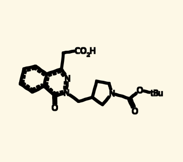 CC(C)(C)OC(=O)N1CCC(Cn2nc(CC(=O)O)c3ccccc3c2=O)C1